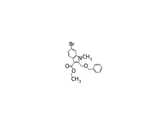 CCOC(=O)c1c(COCc2ccccc2)n(C)c2cc(Br)ccc12